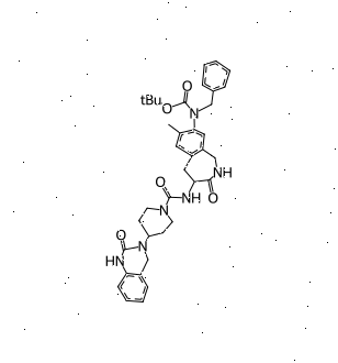 Cc1cc2c(cc1N(Cc1ccccc1)C(=O)OC(C)(C)C)CNC(=O)C(NC(=O)N1CCC(N3Cc4ccccc4NC3=O)CC1)C2